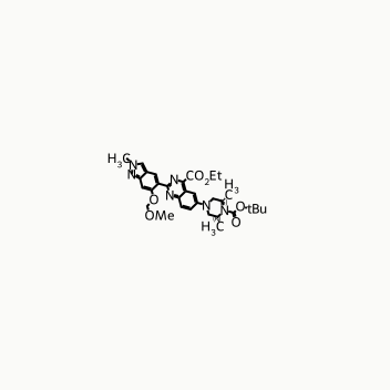 CCOC(=O)c1nc(-c2cc3cn(C)nc3cc2OCOC)nc2ccc(N3C[C@@H](C)N(C(=O)OC(C)(C)C)[C@@H](C)C3)cc12